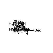 CCCCCCCCCCCCCCCC(=O)NS(=O)(=O)CCCC(=O)NCC(=O)NC(CO)C(=O)N[C@@H](CCC(N)=O)C(O)N[C@@H](CCCNC(=N)N)C(O)NC(CO)C(=O)N[C@@H](CCCC)C(=O)NC